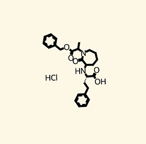 CC(C(=O)OCc1ccccc1)N1CCCCC(N[C@@H](CCc2ccccc2)C(=O)O)C1=O.Cl